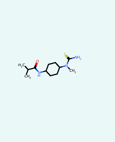 CC(C)C(=O)NC1CCC(N(C)C(N)=S)CC1